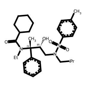 CCN(C(=O)C1CCCCC1)[C@@](C)(c1ccccc1)[C@H](O)CN(CC(C)C)S(=O)(=O)c1ccc(C)cc1